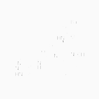 CN1C[C@H](NC(=O)OC(C)(C)C)C(=O)N2c3c(cccc31)C[C@@H]2C(=O)NCc1c[nH]nn1